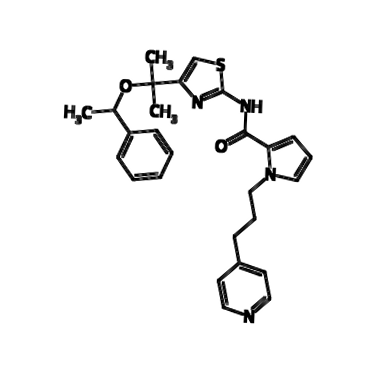 CC(OC(C)(C)c1csc(NC(=O)c2cccn2CCCc2ccncc2)n1)c1ccccc1